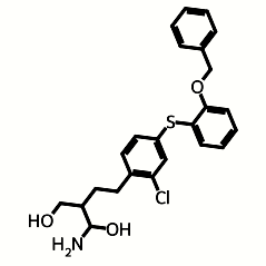 NC(O)C(CO)CCc1ccc(Sc2ccccc2OCc2ccccc2)cc1Cl